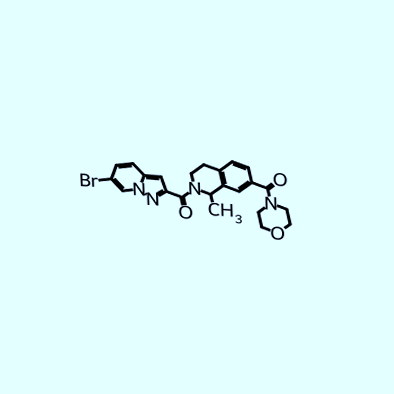 CC1c2cc(C(=O)N3CCOCC3)ccc2CCN1C(=O)c1cc2ccc(Br)cn2n1